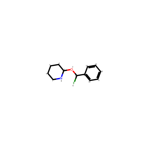 FC(OC1CCCC[N]1)c1ccccc1